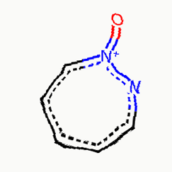 O=[n+]1cccccn1